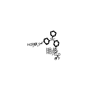 O=S(=O)(O)F.O=S(=O)(O)F.O=S(=O)(O)F.O=S(=O)(O)F.O=S(=O)(O)F.O=S(=O)([O-])F.c1ccc([Se+](c2ccccc2)c2ccccc2)cc1